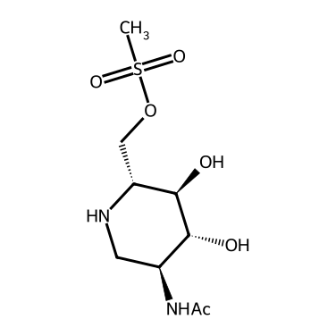 CC(=O)N[C@H]1CN[C@H](COS(C)(=O)=O)[C@@H](O)[C@@H]1O